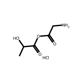 CC(O)C(=O)OC(=O)CN.Cl